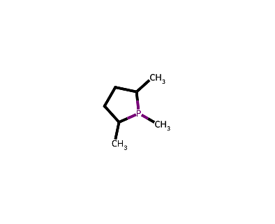 CC1CCC(C)P1C